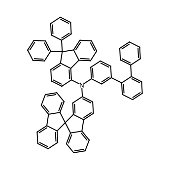 c1ccc(-c2ccccc2-c2cccc(N(c3ccc4c(c3)C3(c5ccccc5-c5ccccc53)c3ccccc3-4)c3cccc4c3-c3ccccc3C4(c3ccccc3)c3ccccc3)c2)cc1